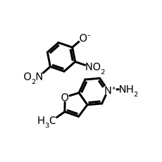 Cc1cc2c[n+](N)ccc2o1.O=[N+]([O-])c1ccc([O-])c([N+](=O)[O-])c1